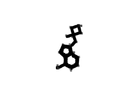 CC1(Cn2ccc3c(Cl)nccc32)COC1